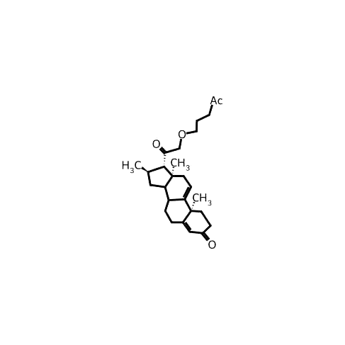 CC(=O)CCCOCC(=O)[C@H]1[C@H](C)CC2C3CCC4=CC(=O)CC[C@]4(C)C3=CC[C@@]21C